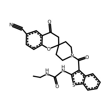 CCNC(=O)Nc1sc2ccccc2c1C(=O)N1CCC2(CC1)CC(=O)c1cc(C#N)ccc1O2